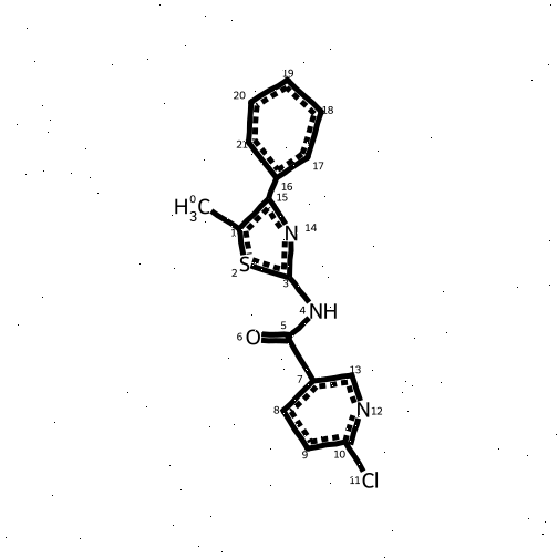 Cc1sc(NC(=O)c2ccc(Cl)nc2)nc1-c1ccccc1